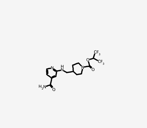 NC(=O)c1ccnc(NCC2CCN(C(=O)OC(C(F)(F)F)C(F)(F)F)CC2)c1